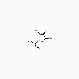 C=C(C#N)C(=O)O.C=C(C#N)C(=O)OCCCC